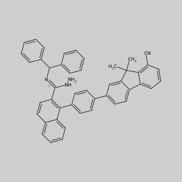 CC1(C)c2cc(-c3ccc(-c4c(/C(=N/C(c5ccccc5)c5ccccc5)NN)ccc5ccccc45)cc3)ccc2-c2cccc(C#N)c21